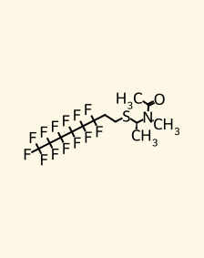 CC(=O)N(C)[C@@H](C)SCCC(F)(F)C(F)(F)C(F)(F)C(F)(F)C(F)(F)C(F)(F)F